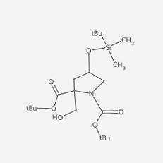 CC(C)(C)OC(=O)N1CC(O[Si](C)(C)C(C)(C)C)CC1(CO)C(=O)OC(C)(C)C